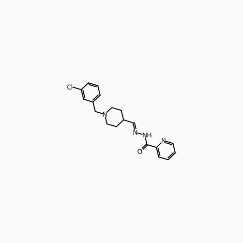 O=C(NN=CC1CCN(Cc2cccc(Cl)c2)CC1)c1ccccn1